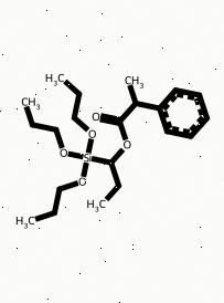 CCCO[Si](OCCC)(OCCC)C(CC)OC(=O)C(C)c1ccccc1